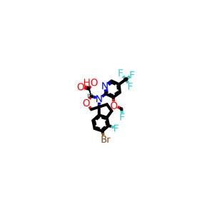 O=C(O)[C@@H]1OCC2(CCc3c2ccc(Br)c3F)N1c1ncc(C(F)(F)F)cc1OCF